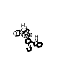 CC1(C(=O)N2CCOCC2)CCN1S(=O)(=O)c1ccc(N2CCCC2)c(-c2cc3ccccc3[nH]2)c1